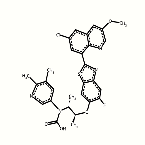 COc1cnc2c(-c3nc4cc(F)c(O[C@@H](C)[C@@H](C)N(C(=O)O)c5cnc(C)c(C)c5)cc4s3)cc(Cl)cc2c1